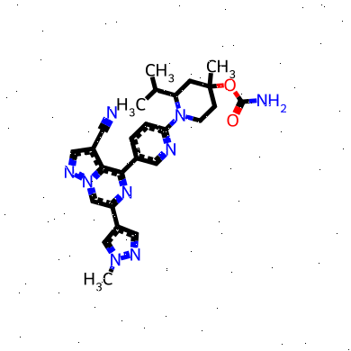 CC(C)C1CC(C)(OC(N)=O)CCN1c1ccc(-c2nc(-c3cnn(C)c3)cn3ncc(C#N)c23)cn1